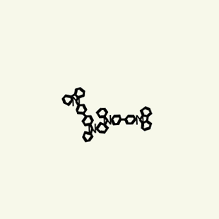 c1ccc(N(c2ccc(-c3ccc(-n4c5ccccc5c5ccccc54)cc3)cc2)c2cccc(N(c3ccccc3)c3ccc(-c4ccc(-n5c6ccccc6c6ccccc65)cc4)cc3)c2)cc1